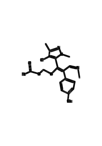 CCC(=O)OCO/C(=C(/C=N\C)c1ccc(C(C)(C)C)cc1)c1c(Cl)c(C)nn1C